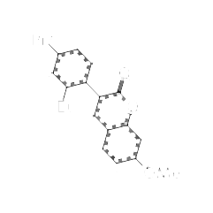 CCc1cc(Br)ccc1-c1cc2ccc(OC)cc2oc1=O